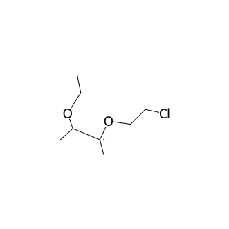 CCOC(C)[C](C)OCCCl